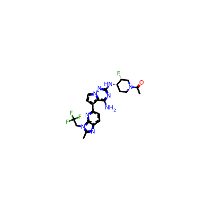 CC(=O)N1CC[C@H](Nc2nc(N)c3c(-c4ccc5nc(C)n(CC(F)(F)F)c5n4)ccn3n2)[C@H](F)C1